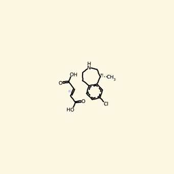 C[C@H]1CNCCc2ccc(Cl)cc21.O=C(O)/C=C/C(=O)O